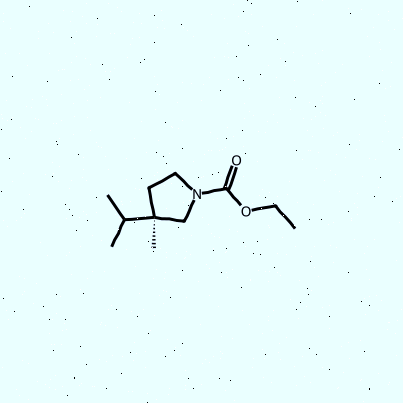 CCOC(=O)N1CC[C@](C)(C(C)C)C1